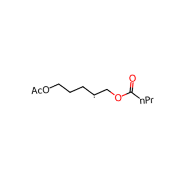 CCCC(=O)OC[CH]CCCOC(C)=O